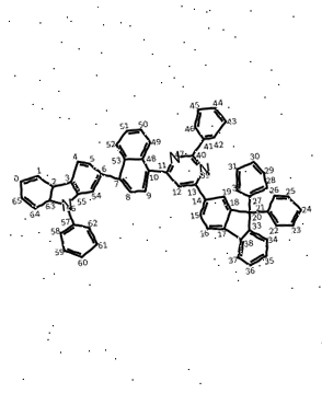 C1=CC2c3ccc(-c4ccc(-c5cc(-c6ccc7c(c6)C(c6ccccc6)(c6ccccc6)c6ccccc6-7)nc(-c6ccccc6)n5)c5ccccc45)cc3N(c3ccccc3)C2C=C1